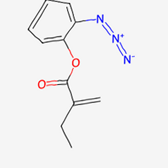 C=C(CC)C(=O)Oc1ccccc1N=[N+]=[N-]